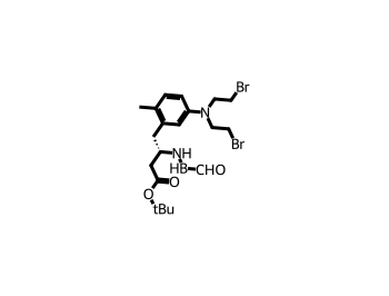 Cc1ccc(N(CCBr)CCBr)cc1C[C@@H](CC(=O)OC(C)(C)C)NBC=O